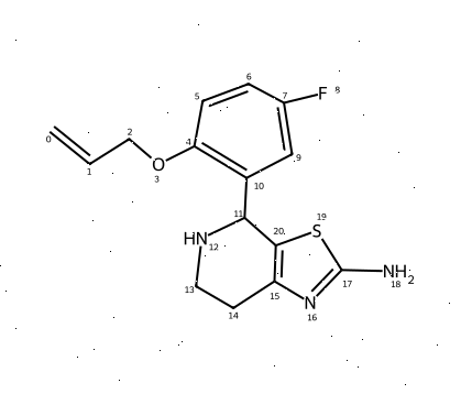 C=CCOc1ccc(F)cc1C1NCCc2nc(N)sc21